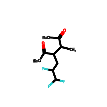 CC(C)COC(=O)C(C)C(CC(F)C(F)F)C(=O)OCC(C)C